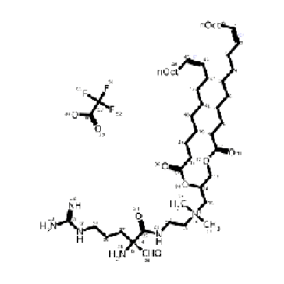 CCCCCCCC/C=C\CCCCCCCC(=O)OCC(C[N+](C)(C)CCNC(=O)[C@@](N)(C=O)CCCNC(=N)N)OC(=O)CCCCCCC/C=C\CCCCCCCC.O=C([O-])C(F)(F)F